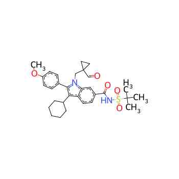 COc1ccc(-c2c(C3CCCCC3)c3ccc(C(=O)NS(=O)(=O)C(C)(C)C)cc3n2CC2(C=O)CC2)cc1